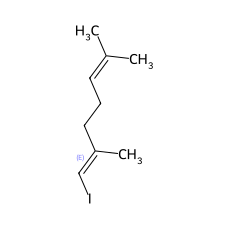 CC(C)=CCC/C(C)=C/I